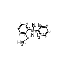 CCc1ccccc1C(N)(N)c1ccccc1